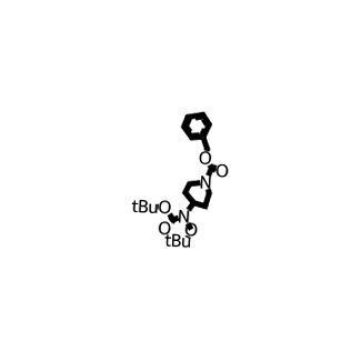 CC(C)(C)OC(=O)N(OC(C)(C)C)C1CCN(C(=O)OCc2ccccc2)CC1